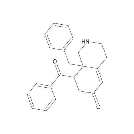 O=C1C=C2CCNCC2(Cc2ccccc2)C(C(=O)c2ccccc2)C1